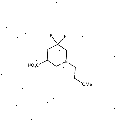 COCCN1CC(C(=O)O)CC(F)(F)C1